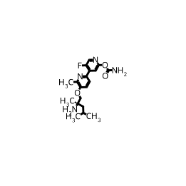 Cc1nc(-c2cc(OC(N)=O)ncc2F)ccc1OC[C@@](C)(N)CC(C)C